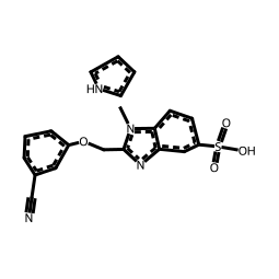 Cn1c(COc2cccc(C#N)c2)nc2cc(S(=O)(=O)O)ccc21.c1cc[nH]c1